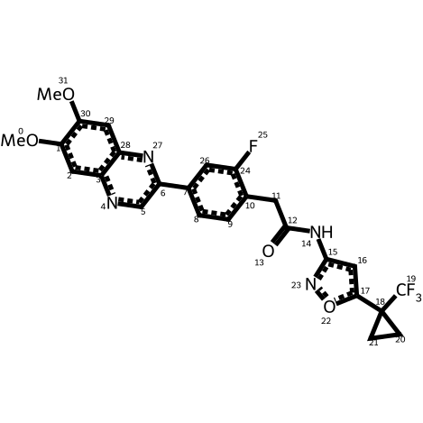 COc1cc2ncc(-c3ccc(CC(=O)Nc4cc(C5(C(F)(F)F)CC5)on4)c(F)c3)nc2cc1OC